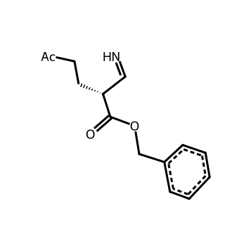 CC(=O)CC[C@H](C=N)C(=O)OCc1ccccc1